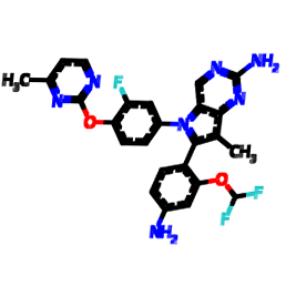 Cc1ccnc(Oc2ccc(-n3c(-c4ccc(N)cc4OC(F)F)c(C)c4nc(N)ncc43)cc2F)n1